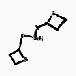 C1CC([S][SbH][S]C2CCS2)S1